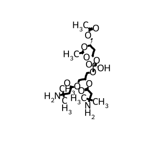 CC(=O)OC[C@H](CCOP(=O)(O)OCC(COC(=O)CC(C)(C)N)OC(=O)CC(C)(C)N)OC(C)=O